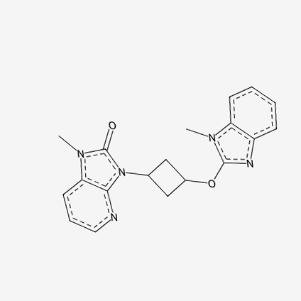 Cn1c(OC2CC(n3c(=O)n(C)c4cccnc43)C2)nc2ccccc21